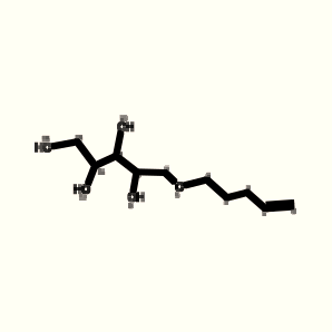 C=CCCCOCC(O)C(O)C(O)CO